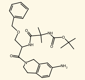 CC(C)(C)OC(=O)NC(C)(C)C(=O)NC(COCc1ccccc1)C(=O)N1CCc2ccc(N)cc2C1